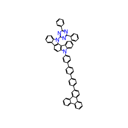 c1ccc(-c2nc(-c3ccccc3)nc(-n3c4ccccc4c4ccc5c(c6ccccc6n5-c5ccc(-c6ccc(-c7ccc(-c8ccc9c%10ccccc%10c%10ccccc%10c9c8)cc7)cc6)cc5)c43)n2)cc1